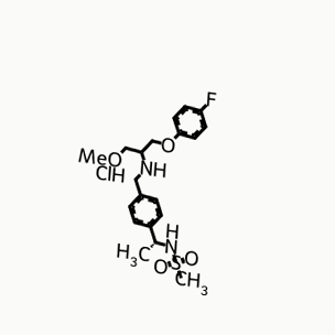 COCC(COc1ccc(F)cc1)NCc1ccc([C@@H](C)NS(C)(=O)=O)cc1.Cl